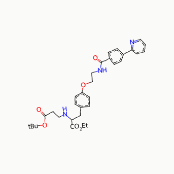 CCOC(=O)C(Cc1ccc(OCCNC(=O)c2ccc(-c3ccccn3)cc2)cc1)NCCC(=O)OC(C)(C)C